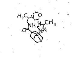 Cc1ncn(C23CC4CC(CC(C(=O)NCC(C)N5CCOCC5)(C4)C2)C3)n1